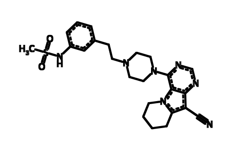 CS(=O)(=O)Nc1cccc(CCN2CCN(c3ncnc4c(C#N)c5n(c34)CCCC5)CC2)c1